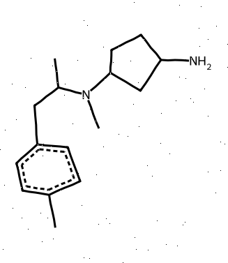 Cc1ccc(CC(C)N(C)C2CCC(N)C2)cc1